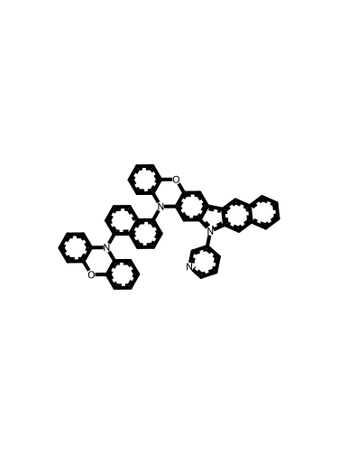 c1cncc(-n2c3cc4c(cc3c3cc5ccccc5cc32)Oc2ccccc2N4c2cccc3c(N4c5ccccc5Oc5ccccc54)cccc23)c1